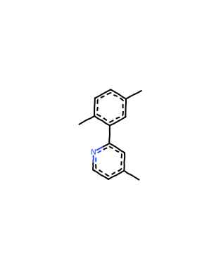 Cc1ccnc(-c2cc(C)ccc2C)c1